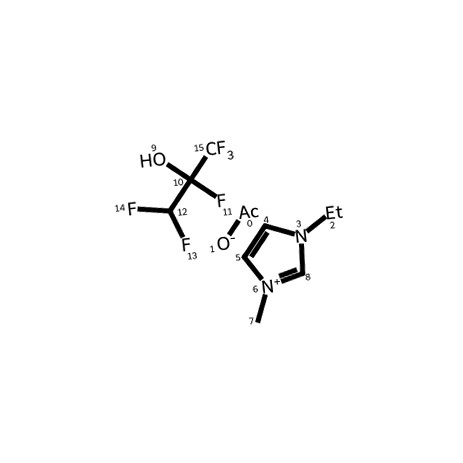 CC(=O)[O-].CCn1cc[n+](C)c1.OC(F)(C(F)F)C(F)(F)F